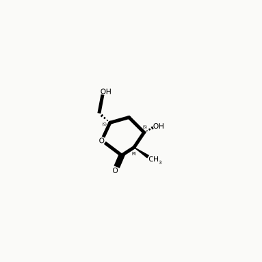 C[C@H]1C(=O)O[C@H](CO)C[C@@H]1O